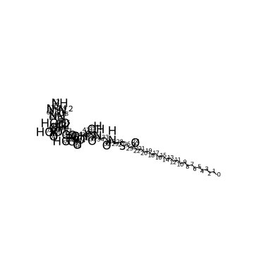 CCCCCCCCCCCCCCCCCCCCCCCC(=O)CCSCCNC(=O)CCNC(=O)[C@H](O)C(C)(C)COP(=O)(O)OP(=O)(O)OC[C@H]1O[C@@H](n2cnc3c(N)ncnc32)[C@H](O)[C@@H]1OP(=O)(O)O